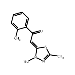 CCCCN1N=C(C)SC1=CC(=O)c1ccccc1C